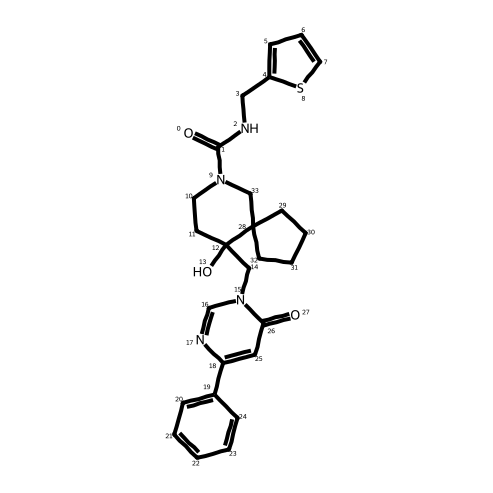 O=C(NCc1cccs1)N1CCC(O)(Cn2cnc(-c3ccccc3)cc2=O)C2(CCCC2)C1